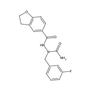 NC(=O)N(Cc1cccc(F)c1)NC(=O)c1ccc2c(c1)CCO2